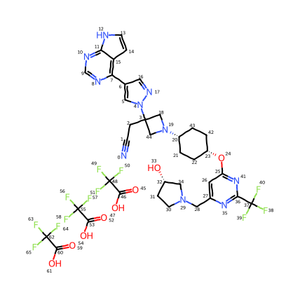 N#CCC1(n2cc(-c3ncnc4[nH]ccc34)cn2)CN([C@H]2CC[C@@H](Oc3cc(CN4CC[C@H](O)C4)nc(C(F)(F)F)n3)CC2)C1.O=C(O)C(F)(F)F.O=C(O)C(F)(F)F.O=C(O)C(F)(F)F